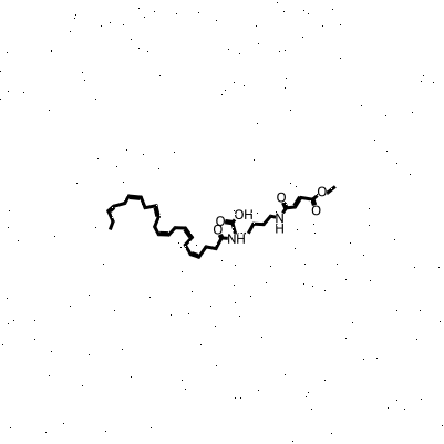 CC/C=C\C/C=C\C/C=C\C/C=C\C/C=C\C/C=C\CCC(=O)N[C@@H](CCCCNC(=O)/C=C/C(=O)OCC)C(=O)O